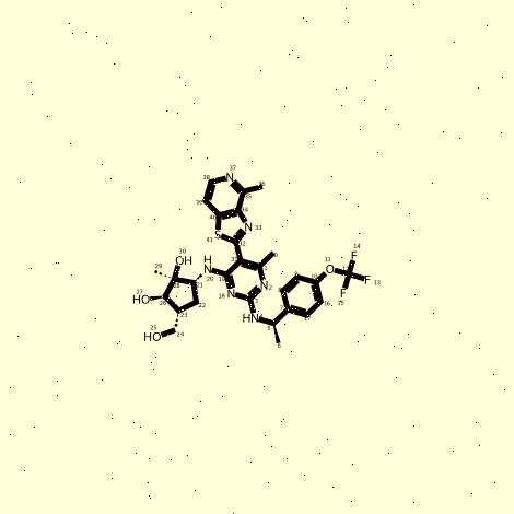 Cc1nc(N[C@H](C)c2ccc(OC(F)(F)F)cc2)nc(N[C@@H]2C[C@H](CO)[C@@H](O)[C@@]2(C)O)c1-c1nc2c(C)nccc2s1